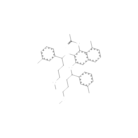 COCCCC(Oc1cc2cccc(C)c2c(OC(C)=O)c1OC(CCCOC)c1cccc(C)c1)c1cccc(C)c1